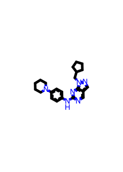 c1cc(N2CCCCC2)ccc1Nc1ncc2cnn(CC3CCCC3)c2n1